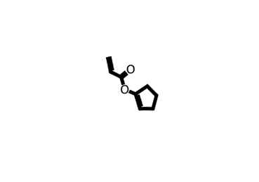 C=CC(=O)OC1=CCCC1